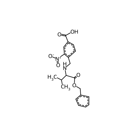 CC(C)C(NCc1ccc(C(=O)O)cc1[N+](=O)[O-])C(=O)OCc1ccccc1